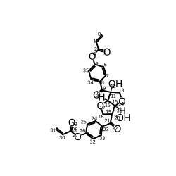 C=CC(=O)Oc1ccc(C(=O)[C@]2(O)CO[C@H]3[C@@H]2OC[C@]3(O)C(=O)c2ccc(OC(=O)C=C)cc2)cc1